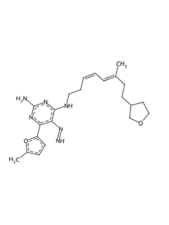 C/C(=C\C=C/CCNc1nc(N)nc(-c2ccc(C)o2)c1N=N)CCC1CCOC1